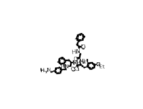 CCOc1ccc(CC(NC(=O)CNC(=O)Cc2ccccc2)C(=O)NC(Cc2ccccc2)C(=O)NCc2ccc(CN)cc2)cc1